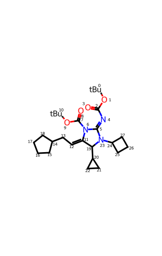 CC(C)(C)OC(=O)/N=C1\N(C(=O)OC(C)(C)C)/C(=C\CC2CCCC2)C(C2CC2)N1C1CCC1